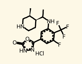 CC(Nc1cc(-c2n[nH]c(=O)o2)cc(F)c1C(F)(F)F)[C@H]1CCNC[C@H]1C.Cl